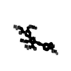 C=CC(=O)N1C[C@@H](n2nc(C#Cc3ccc4c(cnn4C)c3)c(C(N)=O)c2NC)C[C@@H]1COC